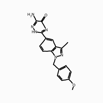 COc1ccc(Cn2nc(C)c3cc(-c4nc(=O)c(N)n[nH]4)ccc32)cc1